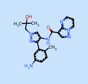 Cc1ccc(N)cc1-c1nn(CC(C)(C)O)cc1NC(=O)c1cnn2cccnc12